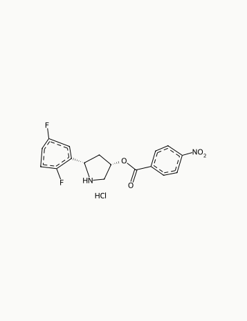 Cl.O=C(O[C@@H]1CN[C@H](c2cc(F)ccc2F)C1)c1ccc([N+](=O)[O-])cc1